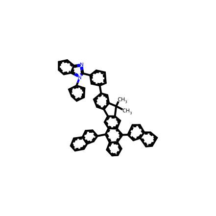 CC1(C)c2cc(-c3cccc(-c4nc5ccccc5n4-c4ccccc4)c3)ccc2-c2cc3c(-c4ccc5ccccc5c4)c4ccccc4c(-c4ccc5ccccc5c4)c3cc21